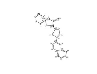 O=C1OC2(CN3CCC2CC3)CN1c1ccc(-c2ccc3ncccc3c2)s1